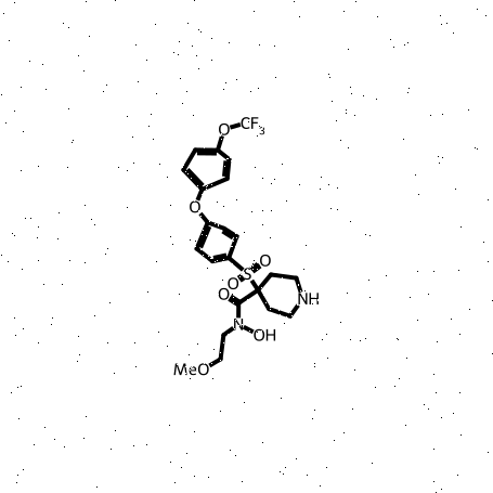 COCCN(O)C(=O)C1(S(=O)(=O)c2ccc(Oc3ccc(OC(F)(F)F)cc3)cc2)CCNCC1